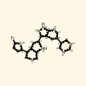 Fc1ccc(-c2cncc3[nH]c(-c4n[nH]c5ncc(-c6cncnc6)cc45)cc23)s1